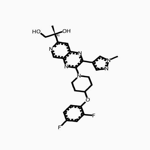 Cn1cc(-c2nc3cc([C@@](C)(O)CO)ncc3nc2N2CCC(Oc3ccc(F)cc3F)CC2)cn1